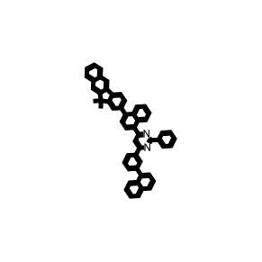 CC1(C)c2cc(-c3ccc(-c4cc(-c5cccc(-c6cccc7ccccc67)c5)nc(-c5ccccc5)n4)c4ccccc34)ccc2-c2cc3ccccc3cc21